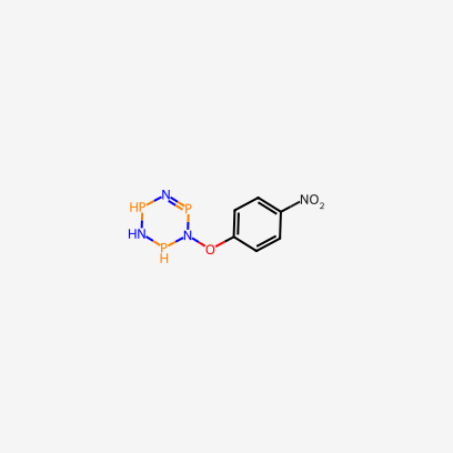 O=[N+]([O-])c1ccc(On2pn[pH][nH][pH]2)cc1